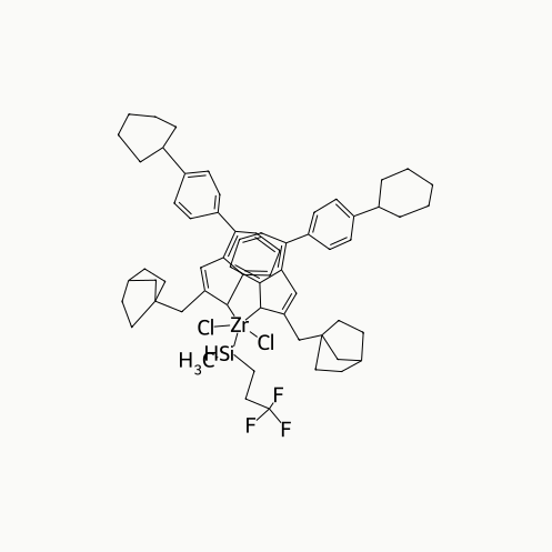 C[SiH](CCC(F)(F)F)[Zr]([Cl])([Cl])([CH]1C(CC23CCC(CC2)C3)=Cc2c(-c3ccc(C4CCCCC4)cc3)cccc21)[CH]1C(CC23CCC(CC2)C3)=Cc2c(-c3ccc(C4CCCCC4)cc3)cccc21